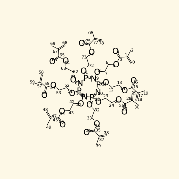 C=C(C)C(=O)OCCON1P(OCCOC(=O)C(=C)C)N=P(OCCOC(=O)C(=C)C)(OCCOC(=O)C(=C)C)N(OCCOC(=O)C(=C)C)P(OCCOC(=O)C(=C)C)N(OCCOC(=O)C(=C)C)P1OCCOC(=O)C(=C)C